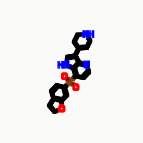 O=S(=O)(c1ccc2c(c1)OCC2)c1ccnc2c(C3=CCNCC3)c[nH]c12